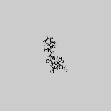 CC1(C)CC(=O)C=C(C(=O)NCCNc2nsc3ccccc23)O1